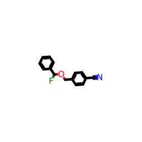 N#Cc1ccc(COC(F)c2ccccc2)cc1